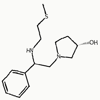 CSCCNC(CN1CC[C@H](O)C1)c1ccccc1